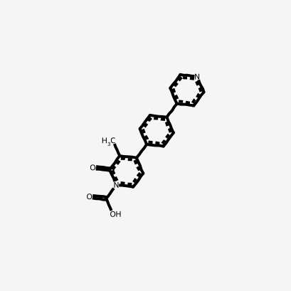 Cc1c(-c2ccc(-c3ccncc3)cc2)ccn(C(=O)O)c1=O